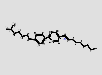 CCCCCCC/C=C/c1cnc(-c2ccc(CCCCCC(C)O)cc2)nc1